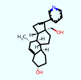 C[C@H]1C=C2C[C@@H](O)CC[C@@H]2[C@H]2CC[C@]3(CO)C(c4cccnc4)=CC[C@H]3[C@@H]21